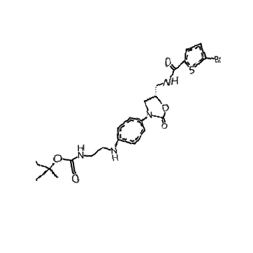 CC(C)(C)OC(=O)NCCNc1ccc(N2C[C@H](CNC(=O)c3ccc(Br)s3)OC2=O)cc1